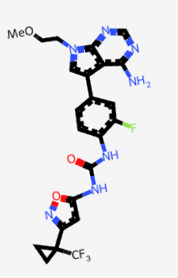 COCCn1cc(-c2ccc(NC(=O)Nc3cc(C4(C(F)(F)F)CC4)no3)c(F)c2)c2c(N)ncnc21